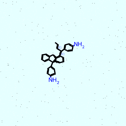 C/C=C/C(=C\C1=C(C)C2(c3ccc(N)cc3)c3ccccc3C1c1ccccc12)c1ccc(N)cc1